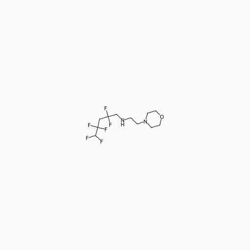 FC(F)C(F)(F)CC(F)(F)CNCCN1CCOCC1